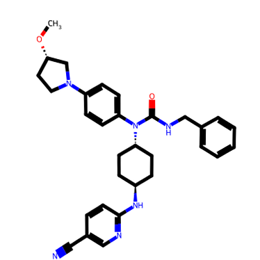 CO[C@H]1CCN(c2ccc(N(C(=O)NCc3ccccc3)[C@H]3CC[C@H](Nc4ccc(C#N)cn4)CC3)cc2)C1